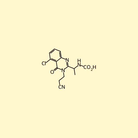 CC(NC(=O)O)c1nc2cccc(Cl)c2c(=O)n1CCC#N